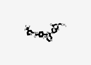 CCN1CC(=O)N2C[C@H](C3=C4C=NC=C[N+]4(N)C(c4ccc(C(=O)Nc5cc(C(F)(F)F)ccn5)cc4)=N3)CC[C@H]2C1